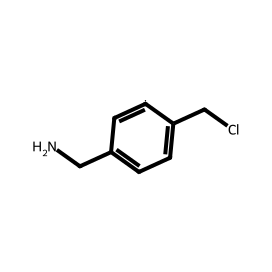 NCc1c[c]c(CCl)cc1